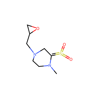 CN1CCN(CC2CO2)CC1=S(=O)=O